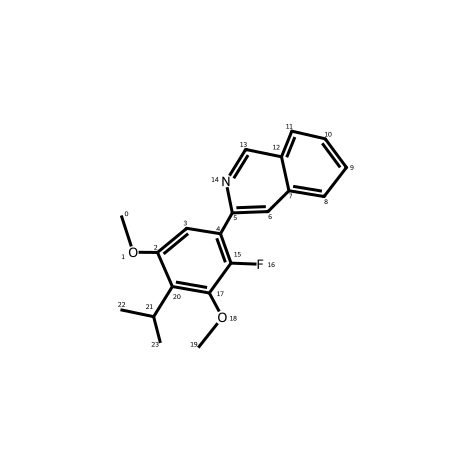 COc1cc(-c2cc3ccccc3cn2)c(F)c(OC)c1C(C)C